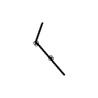 CCCCCCCCCCCCCCCCCCCCCC(=O)OC(=O)CCCCCCCCCCCCCCCCCCC(=O)OC(=O)CCCCCCCCCCCCCCCCCCCCC